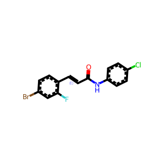 O=C(/C=C/c1ccc(Br)cc1F)Nc1ccc(Cl)cc1